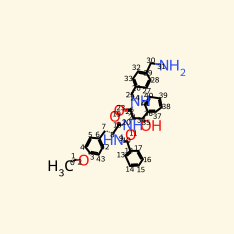 CCOc1ccc(C[C@@H](NC(=O)c2ccccc2)C(=O)NC(C(=O)NCc2ccc(CN)cc2)C(O)c2ccccc2)cc1